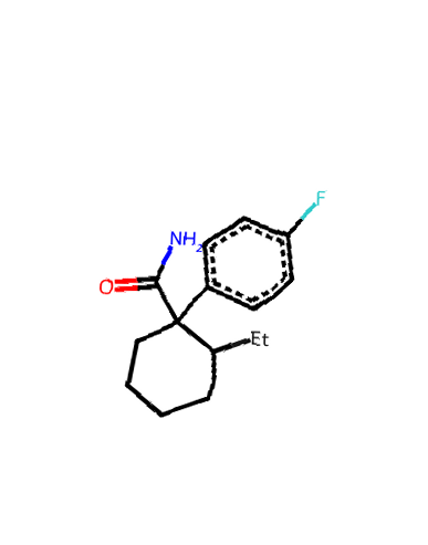 CCC1CCCCC1(C(N)=O)c1ccc(F)cc1